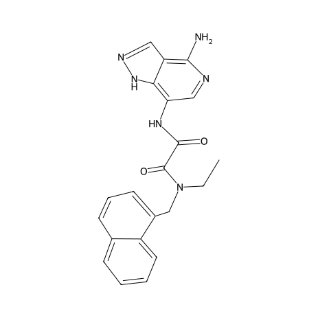 CCN(Cc1cccc2ccccc12)C(=O)C(=O)Nc1cnc(N)c2cn[nH]c12